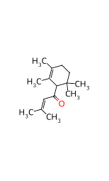 CC(C)=CC(=O)C1C(C)=C(C)CCC1(C)C